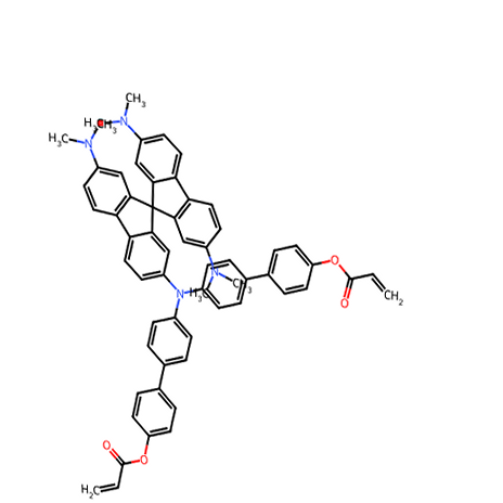 C=CC(=O)Oc1ccc(-c2ccc(N(c3ccc(-c4ccc(OC(=O)C=C)cc4)cc3)c3ccc4c(c3)C3(c5cc(N(C)C)ccc5-c5ccc(N(C)C)cc53)c3cc(N(C)C)ccc3-4)cc2)cc1